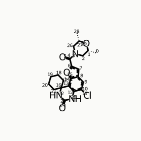 C[C@@H]1CN(C(=O)c2cc3cc(Cl)c4c(c3o2)C2(CCCCC2)NC(=O)N4)C[C@H](C)O1